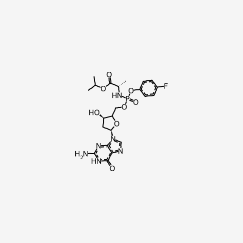 CC(C)OC(=O)[C@H](C)NP(=O)(OCC1O[C@@H](n2cnc3c(=O)[nH]c(N)nc32)C[C@H]1O)Oc1ccc(F)cc1